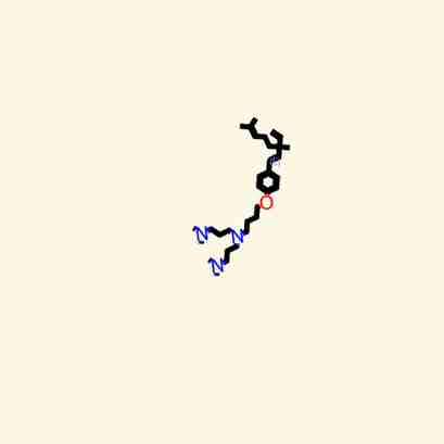 C=CC(C)(/C=C/c1ccc(OCCCCN(CCCN(C)C)CCCN(C)C)cc1)CCC=C(C)C